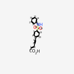 O=C(O)C=CC#Cc1ccc(S(=O)(=O)Nc2ccccc2)cc1